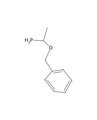 CC(P)OCc1ccccc1